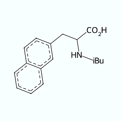 CCC(C)NC(Cc1ccc2ccccc2c1)C(=O)O